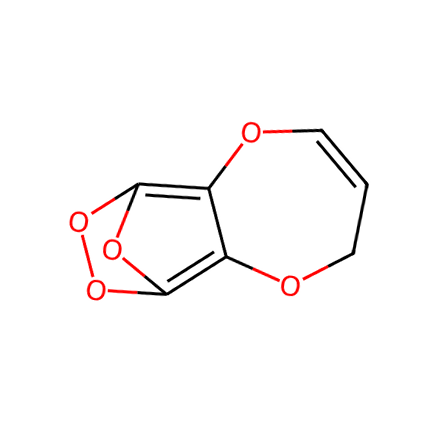 C1=COc2c3oc(c2OC1)OO3